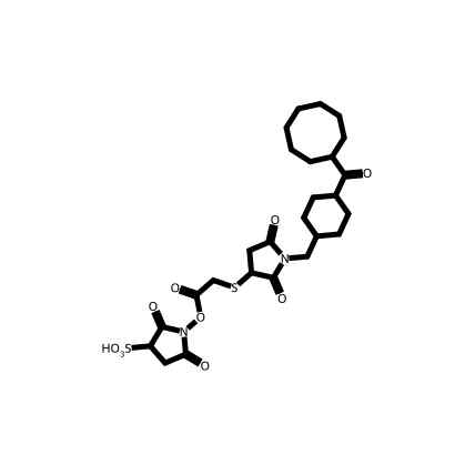 O=C(CSC1CC(=O)N(CC2CCC(C(=O)C3CCCCCCC3)CC2)C1=O)ON1C(=O)CC(S(=O)(=O)O)C1=O